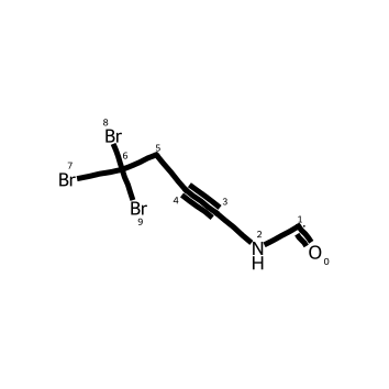 O=[C]NC#CCC(Br)(Br)Br